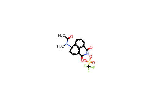 CC(=O)N(C)c1ccc2c3c(cccc13)C(=O)N(OS(=O)(=O)C(F)(F)F)C2=O